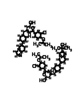 CC(C)Oc1ccc(C(=O)N[C@H](CCO)Cc2ccc(-c3ccc4nc(C(C)(C)C)cn4c3)cc2)cc1Cl.CC(C)Oc1ccc(C(=O)N[C@H](CCO)Cc2ccc(-c3ccc4nccn4c3)cc2)cc1Cl